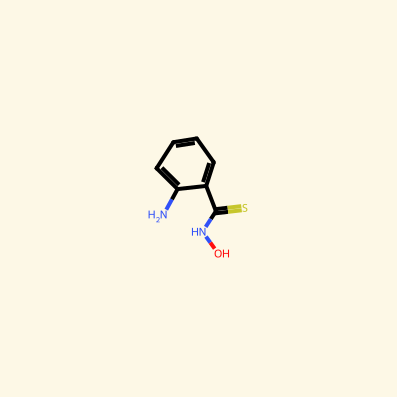 Nc1ccccc1C(=S)NO